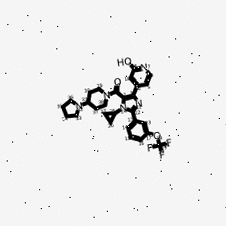 O=C(c1c(-c2ccnc(O)c2)nc(-c2cccc(OC(F)(F)F)c2)n1C1CC1)N1CCC(N2CCCC2)CC1